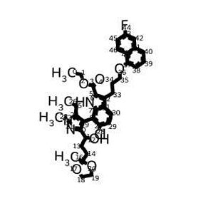 CCOC(=O)c1[nH]c2c(-c3c(C(O)CCC4(C)OCCO4)nn(C)c3CC)c(Cl)ccc2c1CCCOc1cccc2cc(F)ccc12